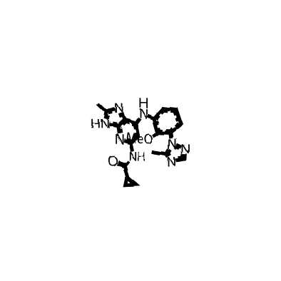 COc1c(Nc2cc(NC(=O)C3CC3)nc3[nH]c(C)nc23)cccc1-n1ncnc1C